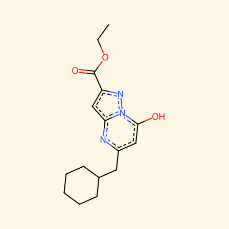 CCOC(=O)c1cc2nc(CC3CCCCC3)cc(O)n2n1